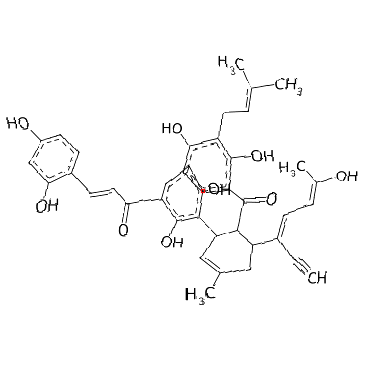 C#C/C(=C\C=C(/C)O)C1CC(C)=CC(c2c(O)ccc(C(=O)/C=C/c3ccc(O)cc3O)c2O)C1C(=O)c1ccc(O)c(CC=C(C)C)c1O